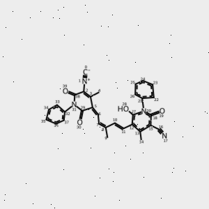 [C-]#[N+]C1=C(C)/C(=C/C=C(C)C=Cc2c(C)c(C#N)c(=O)n(-c3ccccc3)c2O)C(=O)N(c2ccccc2)C1=O